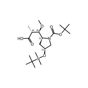 CO[C@H]([C@@H](C)C(=O)O)[C@@H]1C[C@H](O[Si](C)(C)C(C)(C)C)CN1C(=O)OC(C)(C)C